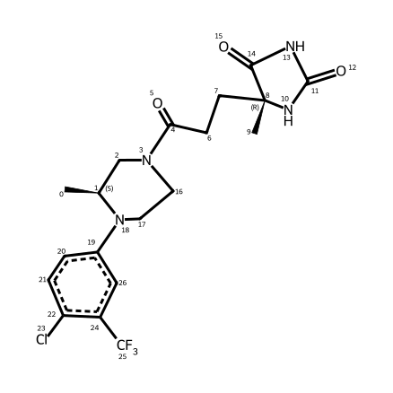 C[C@H]1CN(C(=O)CC[C@@]2(C)NC(=O)NC2=O)CCN1c1ccc(Cl)c(C(F)(F)F)c1